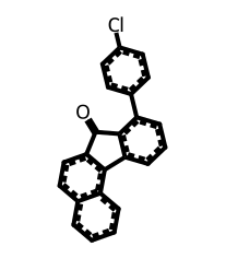 O=C1c2ccc3ccccc3c2-c2cccc(-c3ccc(Cl)cc3)c21